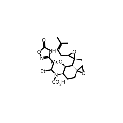 CCC(Cc1noc(=O)[nH]1)N(C(=O)O)[C@@H]1CC[C@]2(CO2)[C@@H]([C@@]2(C)O[C@@H]2CC=C(C)C)[C@@H]1OC